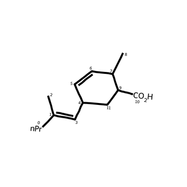 CCCC(C)=CC1C=CC(C)C(C(=O)O)C1